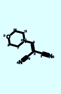 N#CC(C#N)=CN1CCOCC1